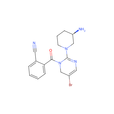 N#Cc1ccccc1C(=O)N1CC(Br)=CN=C1N1CCC[C@@H](N)C1